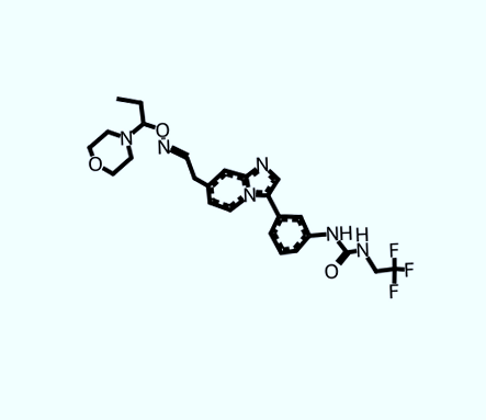 CCC(ON=CCc1ccn2c(-c3cccc(NC(=O)NCC(F)(F)F)c3)cnc2c1)N1CCOCC1